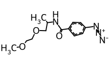 COCCOCC(C)NC(=O)c1ccc(N=[N+]=[N-])cc1